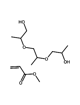 C=CC(=O)OC.CC(O)COC(C)COC(C)CO